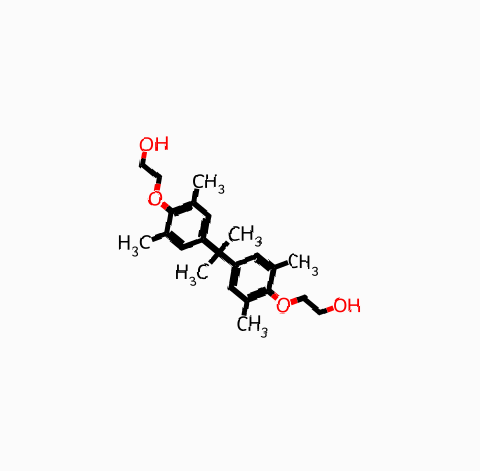 Cc1cc(C(C)(C)c2cc(C)c(OCCO)c(C)c2)cc(C)c1OCCO